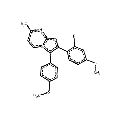 COc1ccc(-c2nc3nc(C)ccn3c2-c2ccc(SC)cc2)c(F)c1